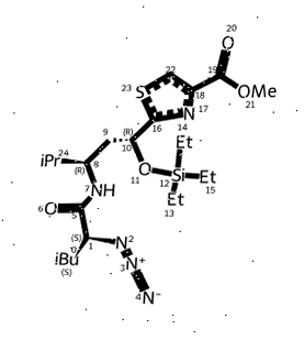 CC[C@H](C)[C@H](N=[N+]=[N-])C(=O)N[C@H](C[C@@H](O[Si](CC)(CC)CC)c1nc(C(=O)OC)cs1)C(C)C